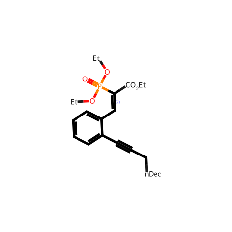 CCCCCCCCCCCC#Cc1ccccc1/C=C(/C(=O)OCC)P(=O)(OCC)OCC